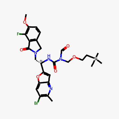 COc1ccc2c(c1F)C(=O)N(C[C@H](NC(=O)N(C=O)COCC[Si](C)(C)C)c1cc3nc(C)c(Br)cc3o1)C2